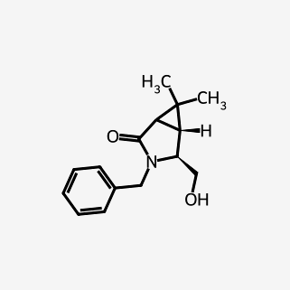 CC1(C)C2C(=O)N(Cc3ccccc3)[C@H](CO)[C@H]21